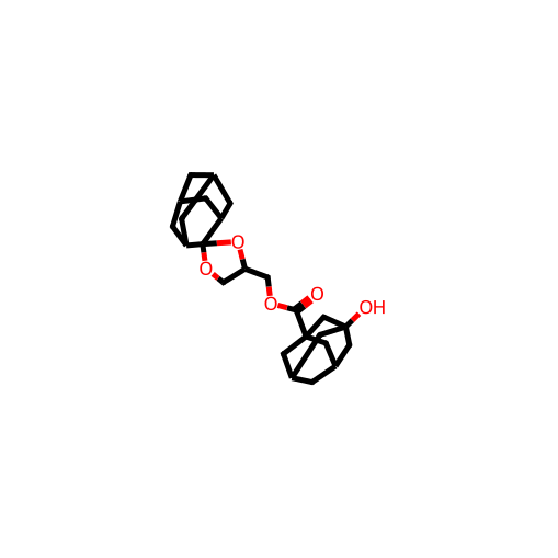 O=C(OCC1COC2(O1)C1CC3CC(C1)CC2C3)C12CC3CC(CC(O)(C3)C1)C2